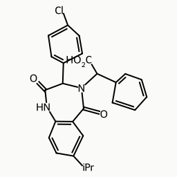 CC(C)c1ccc2c(c1)C(=O)N(C(C(=O)O)c1ccccc1)C(c1ccc(Cl)cc1)C(=O)N2